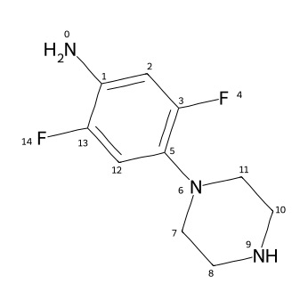 Nc1cc(F)c(N2CCNCC2)cc1F